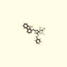 C[C@@](CCCc1cccc2c1[nH]c1ccccc12)(NC=O)C(=O)OCc1ccncc1